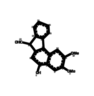 COc1cc2c(O)cc3c(c2cc1OC)-c1ccccc1C3C=O